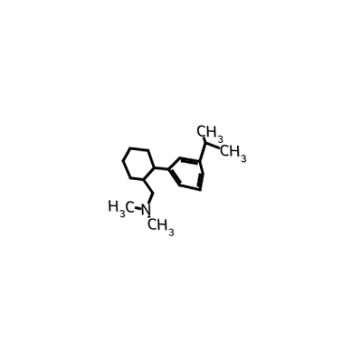 CC(C)c1cccc(C2CCCCC2CN(C)C)c1